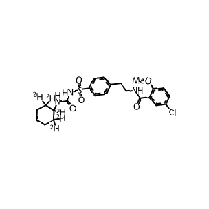 [2H]C1([2H])CCCC([2H])([2H])C1([2H])NC(=O)NS(=O)(=O)c1ccc(CCNC(=O)c2cc(Cl)ccc2OC)cc1